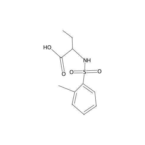 CCC(NS(=O)(=O)c1ccccc1C)C(=O)O